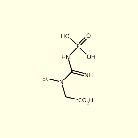 CCN(CC(=O)O)C(=N)NP(=O)(O)O